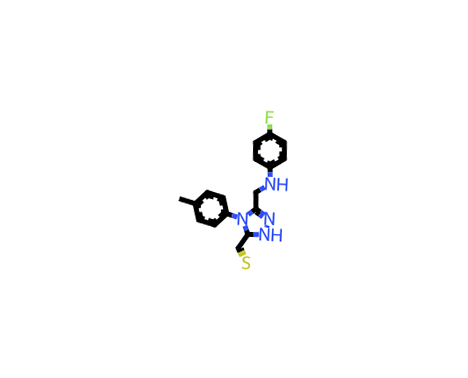 Cc1ccc(N2C(CNc3ccc(F)cc3)=NNC2C=S)cc1